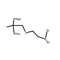 CCCCCCCC(C)(CCCCCC)CSCCN(CC)CC